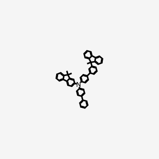 CC1(C)c2ccccc2-c2ccc(N(c3ccc(-c4ccccc4)cc3)c3ccc(-c4cccc(C5(C)c6ccccc6-c6ccccc65)c4)cc3)cc21